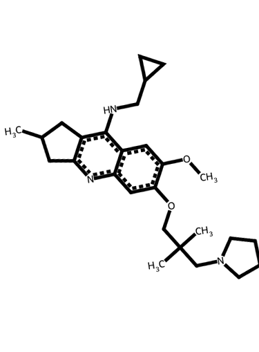 COc1cc2c(NCC3CC3)c3c(nc2cc1OCC(C)(C)CN1CCCC1)CC(C)C3